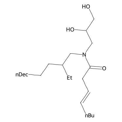 CCCCC=CCC(=O)N(CC(O)CO)CC(CC)CCCCCCCCCCCC